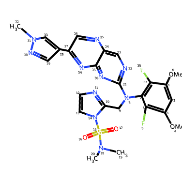 COc1cc(OC)c(F)c(N(Cc2nccn2S(=O)(=O)N(C)C)c2ncc3ncc(-c4cnn(C)c4)nc3n2)c1F